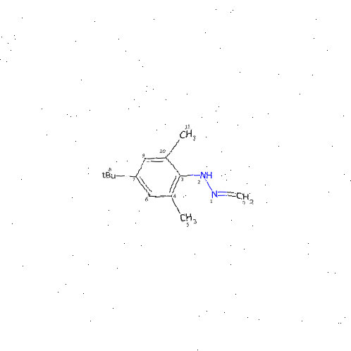 C=NNc1c(C)cc(C(C)(C)C)cc1C